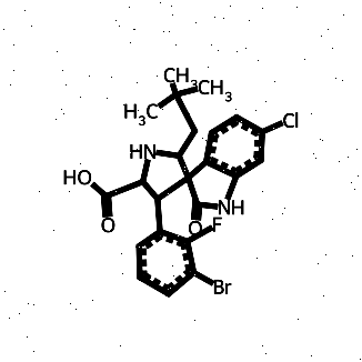 CC(C)(C)CC1NC(C(=O)O)C(c2cccc(Br)c2F)C12C(=O)Nc1cc(Cl)ccc12